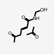 CC(=O)CC=CC(=O)NCO.CC(C)=O